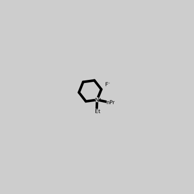 CCC[N+]1(CC)CCCCC1.[F-]